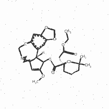 CCOC(=O)C[C@@]1(C(=O)OC2C(OC)=CC34CCCN3CCc3cc5c(cc3[C@H]24)OCO5)CCCC(C)(C)O1